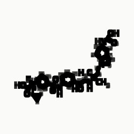 C1CC1.CC(C)(CCn1ccc2cc(NC(=O)O)ccc21)NC[C@H](O)c1cccc(NS(=O)(=O)c2ccccc2)c1.O=C(O)C(F)(F)F